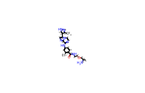 CCc1cc(Nc2nccn3c(-c4c[nH]nc4C(F)(F)F)cnc23)ccc1C(=O)NCCOCC(C)N